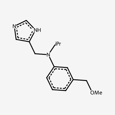 COCc1cccc(N(Cc2cnc[nH]2)C(C)C)c1